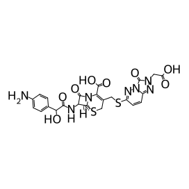 Nc1ccc(C(O)C(=O)NC2C(=O)N3C(C(=O)O)=C(CSc4ccc5nn(CC(=O)O)c(=O)n5n4)CS[C@@H]23)cc1